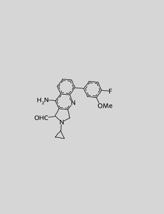 COc1cc(-c2cccc3c(N)c4c(nc23)CN(C2CC2)C4C=O)ccc1F